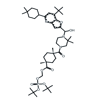 CC1(C)CCC(c2cc(C(C)(C)C)c3oc(C(O)N4CCN(C(=O)[C@]5(C)CC[C@](C)(C(=O)OCOP(=O)(OC(C)(C)C)OC(C)(C)C)CC5)CC4(C)C)cc3n2)CC1